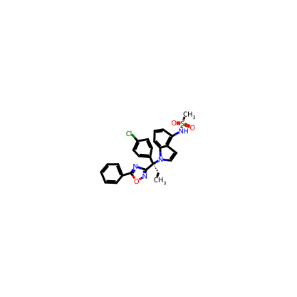 CC[C@@](c1ccc(Cl)cc1)(c1noc(-c2ccccc2)n1)n1ccc2c(NS(C)(=O)=O)cccc21